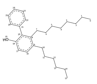 CCCCCCCCc1c(CCCCCC)ccc(O)c1-c1ccccc1